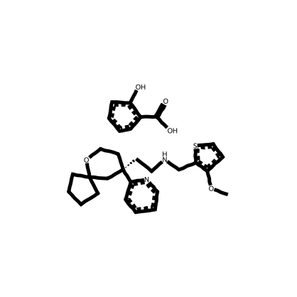 COc1ccsc1CNCC[C@@]1(c2ccccn2)CCOC2(CCCC2)C1.O=C(O)c1ccccc1O